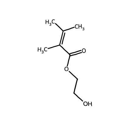 CC(C)=C(C)C(=O)OCCO